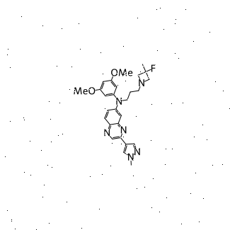 COc1cc(OC)cc(N(CCCN2CC(C)(F)C2)c2ccc3ncc(-c4cnn(C)c4)nc3c2)c1